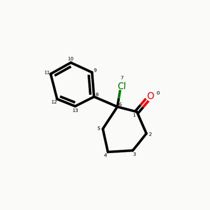 O=C1CCCCC1(Cl)c1ccccc1